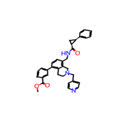 COC(=O)c1cccc(-c2ccc(CNC(=O)[C@H]3C[C@H]3c3ccccc3)c3c2CCN(Cc2ccncc2)C3)c1